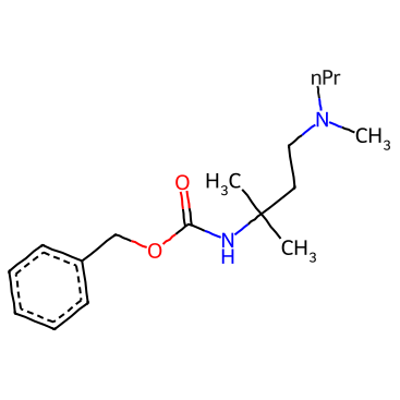 CCCN(C)CCC(C)(C)NC(=O)OCc1ccccc1